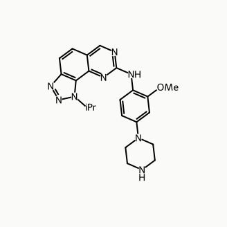 COc1cc(N2CCNCC2)ccc1Nc1ncc2ccc3nnn(C(C)C)c3c2n1